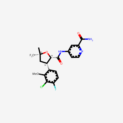 COc1c([C@@H]2C[C@](C)(C(F)(F)F)O[C@@H]2C(=O)Nc2ccnc(C(N)=O)c2)ccc(F)c1Cl